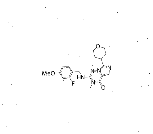 COc1ccc(CNc2nn3c(C4CCOCC4)ncc3c(=O)n2C)c(F)c1